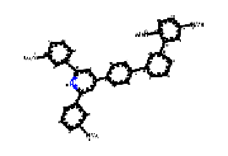 CNc1cccc(-c2cc(-c3ccc(-c4cccc(-c5cc(NC)ccc5NC)c4)cc3)cc(-c3cccc(NC)c3)n2)c1